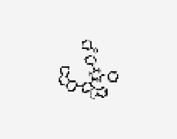 C1=CC2CC=C(c3cc(-c4nc(-c5ccccc5)nc(-c5ccc6c(c5)oc5ccccc56)n4)c4c(c3)oc3ccccc34)C=C2c2ccccc21